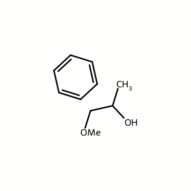 COCC(C)O.c1ccccc1